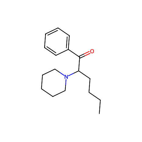 CCCCC(C(=O)c1ccccc1)N1CCCCC1